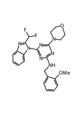 COc1ccccc1CNc1nc(N2CCOCC2)nc(-n2c(C(F)F)nc3ccccc32)n1